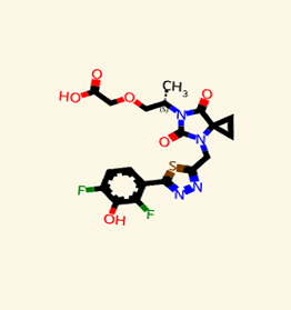 C[C@@H](COCC(=O)O)N1C(=O)N(Cc2nnc(-c3ccc(F)c(O)c3F)s2)C2(CC2)C1=O